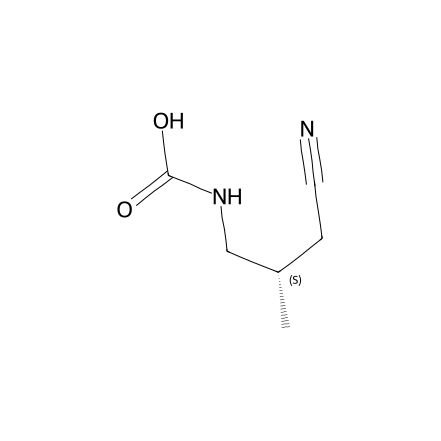 C[C@@H](CC#N)CNC(=O)O